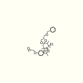 CCC1(C)CC2(OCC(COCc3ccccc3)O2)C(C)C(C)(CC)N1OC(C)c1ccc(OCC2CO2)cc1